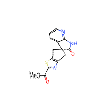 COC(=O)c1nc2c(s1)CC1(C2)C(=O)Nc2ncccc21